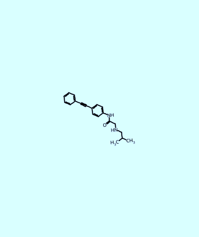 CC(C)CNCC(=O)Nc1ccc(C#Cc2ccccc2)cc1